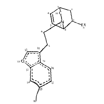 CCC1CC2C=CC1N(CCc1coc3cc(C)ccc13)C2